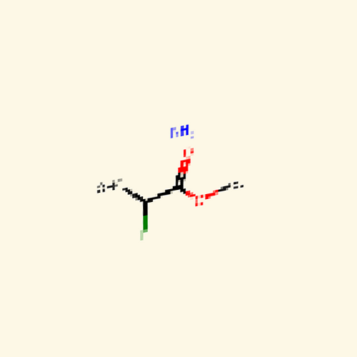 CCOC(=O)C(F)C=O.N